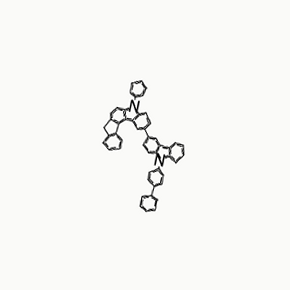 c1ccc(-c2ccc(-n3c4ccccc4c4cc(-c5ccc6c(c5)c5c7c(ccc5n6-c5ccccc5)Cc5ccccc5-7)ccc43)cc2)cc1